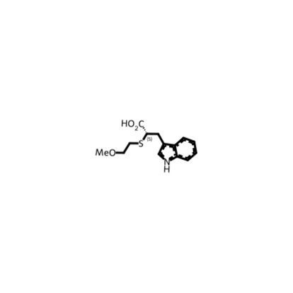 COCCS[C@@H](Cc1c[nH]c2ccccc12)C(=O)O